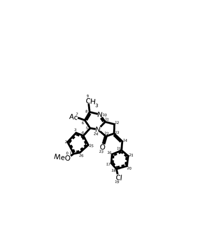 COc1ccc(C2C(C(C)=O)=C(C)N=C3C/C(=C/c4ccc(Cl)cc4)C(=O)N32)cc1